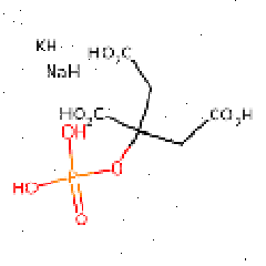 O=C(O)CC(CC(=O)O)(OP(=O)(O)O)C(=O)O.[KH].[NaH]